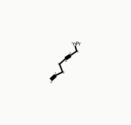 C#CC[CH]C#CCCCC